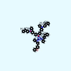 CC1(C)c2ccccc2-c2ccc(-n3c4ccccc4c4cc(-c5ccc6c(c5)c5cc(-c7ccc8c(c7)c7ccccc7n8-c7ccc8c(c7)C(C)(C)c7ccccc7-8)ccc5n6-c5nc(-n6c7ccccc7c7cc(-c8ccc9oc%10ccccc%10c9c8)ccc76)nc(-n6c7ccccc7c7cc8c(cc76)C(C)(C)c6ccccc6-8)n5)ccc43)cc21